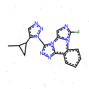 CC1CC1c1cnnn1-c1nnc2c3ccccc3n3c(F)ncc3n12